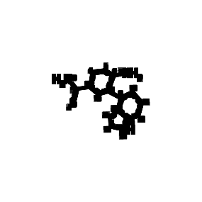 NC(=S)c1ccc(N)c(-c2cccc3[nH]ccc23)c1